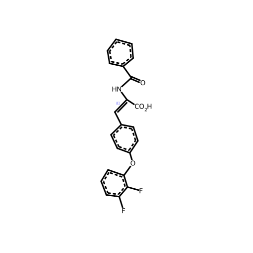 O=C(O)/C(=C\c1ccc(Oc2cccc(F)c2F)cc1)NC(=O)c1ccccc1